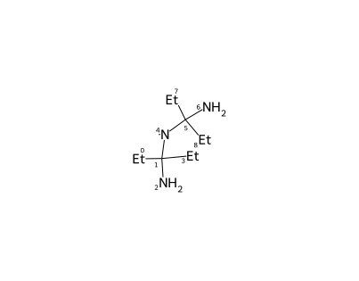 CCC(N)(CC)[N]C(N)(CC)CC